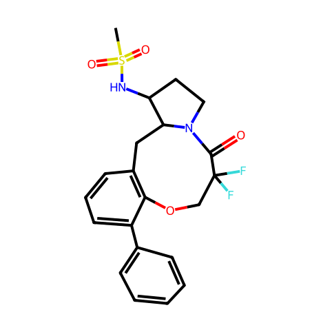 CS(=O)(=O)NC1CCN2C(=O)C(F)(F)COc3c(cccc3-c3ccccc3)CC12